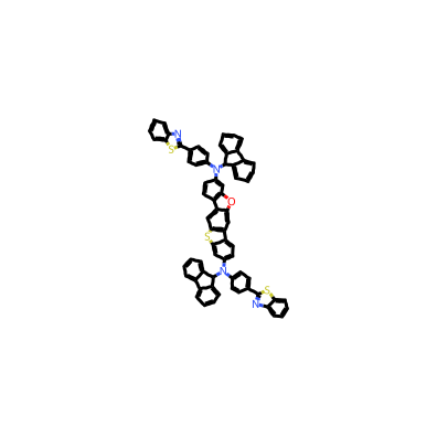 c1ccc2c(c1)-c1ccccc1C2N(c1ccc(-c2nc3ccccc3s2)cc1)c1ccc2c(c1)oc1cc3c(cc12)sc1cc(N(c2ccc(-c4nc5ccccc5s4)cc2)C2c4ccccc4-c4ccccc42)ccc13